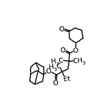 CCC(C)(CC(C)(C)C(=O)OC1CCCC(=O)C1)C(=O)OC12CC3CC(CC(C3)C1)C2